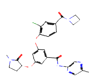 Cc1cnc(NC(=O)c2cc(Oc3ccc(C(=O)N4CCC4)cc3Cl)cc(O[C@H]3CCN(C)C3=O)c2)cn1